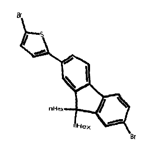 CCCCCCC1(CCCCCC)c2cc(Br)ccc2-c2ccc(-c3ccc(Br)s3)cc21